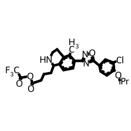 Cc1c(-c2noc(-c3ccc(OC(C)C)c(Cl)c3)n2)ccc2c1CCNC2CCCC(=O)OC(=O)C(F)(F)F